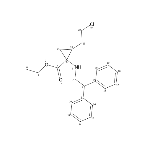 CCOC(=O)C1(NCC(c2ccccc2)c2ccccc2)CC1CCCl